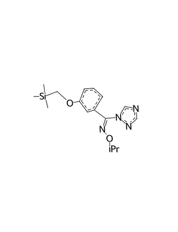 CC(C)ON=C(c1cccc(OC[Si](C)(C)C)c1)n1cncn1